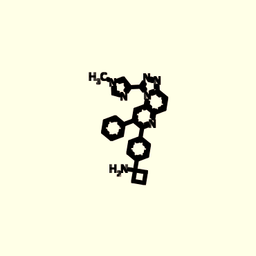 Cn1cnc(-c2nnc3ccc4nc(-c5ccc(C6(N)CCC6)cc5)c(-c5ccccc5)cc4n23)c1